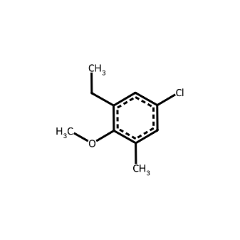 CCc1cc(Cl)cc(C)c1OC